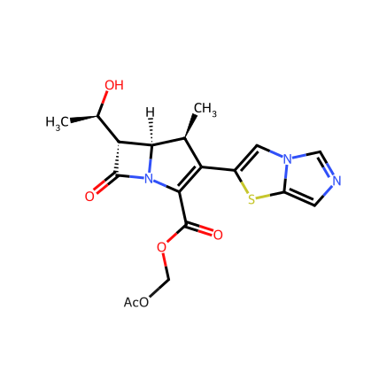 CC(=O)OCOC(=O)C1=C(c2cn3cncc3s2)[C@H](C)[C@@H]2[C@@H]([C@@H](C)O)C(=O)N12